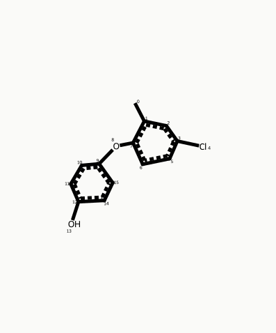 Cc1cc(Cl)ccc1Oc1ccc(O)cc1